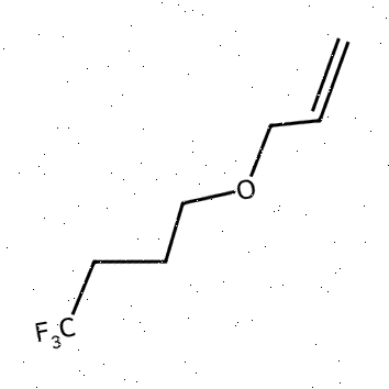 C=CCOCCCC(F)(F)F